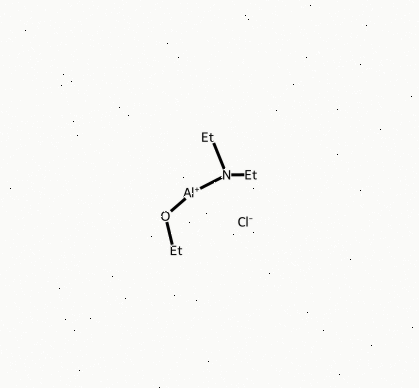 CC[O][Al+][N](CC)CC.[Cl-]